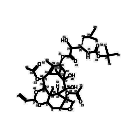 C=CC1OC2CC3OC[C@@]3(OC(C)=O)[C@H]3[C@H](O)C4(O)C[C@H](OC(=O)C(O)[C@H](CC(C)C)NC(=O)OC(C)(C)C)C(C)=C([C@H](OC(C)=O)[C@H](O1)C23C)C4(C)C